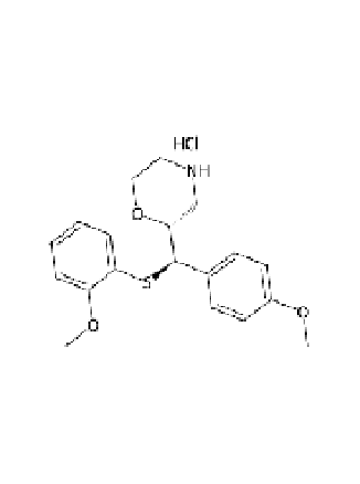 COc1ccc([C@@H](Sc2ccccc2OC)[C@H]2CNCCO2)cc1.Cl